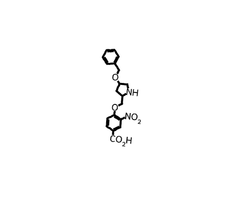 O=C(O)c1ccc(OCC2CC(OCc3ccccc3)CN2)c([N+](=O)[O-])c1